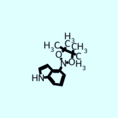 CC1(C)ON(c2cccc3[nH]ccc23)OC1(C)C